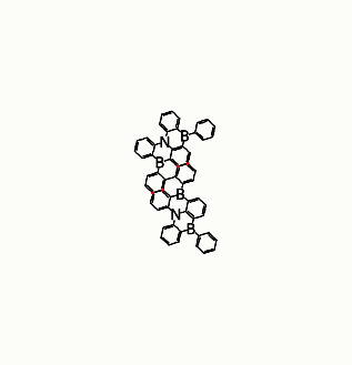 c1ccc(B2c3ccccc3N3c4ccccc4B(c4ccccc4-c4ccccc4B4c5ccccc5N5c6ccccc6B(c6ccccc6)c6cccc4c65)c4cccc2c43)cc1